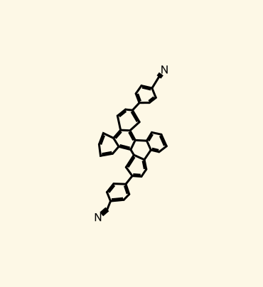 N#Cc1ccc(-c2ccc3c4ccccc4c4c5cc(-c6ccc(C#N)cc6)ccc5c5ccccc5c4c3c2)cc1